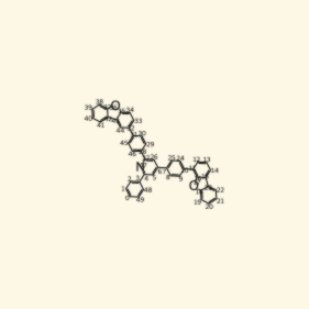 c1ccc(-c2cc(-c3ccc(-c4cccc5c4oc4ccccc45)cc3)cc(-c3ccc(-c4ccc5oc6ccccc6c5c4)cc3)n2)cc1